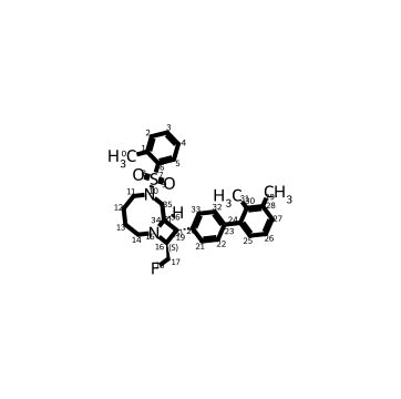 Cc1ccccc1S(=O)(=O)N1CCCCN2[C@H](CF)[C@@H](c3ccc(-c4cccc(C)c4C)cc3)[C@@H]2C1